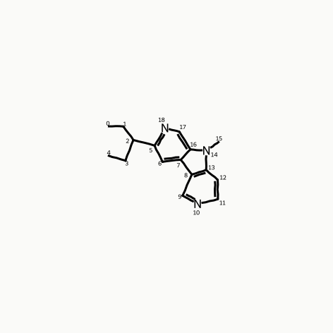 CCC(CC)c1cc2c3cnccc3n(C)c2cn1